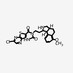 COc1cccc2c1CC[C@H]1CNC(CCn3c(=O)[nH]c4c(sc5nc(Cl)cnc54)c3=O)[C@@H]21